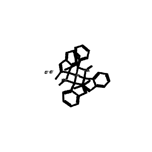 CC1=Cc2ccccc2[C]12[SiH](C)[C]1(C(C)=Cc3ccccc31)[Zr+2]21[C]2(C(C)=Cc3ccccc32)[SiH](C)[C]12C(C)=Cc1ccccc12.[Cl-].[Cl-]